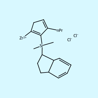 CCCC1=CC[C]([Zr+2])=C1[Si](C)(C)C1CCC2C=CC=CC21.[Cl-].[Cl-]